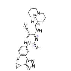 C=C(C#N)/C(=N\C(=N/C)Nc1ccc(F)c(-n2nnnc2C2CC2)c1)NC[C@@H]1CCCN2CCCC[C@H]12